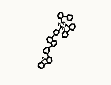 c1ccc(-c2ccccc2-c2nc(-c3ccc(-c4cccc5c(-c6cccc(-c7cccc8c7sc7ccccc78)c6)cccc45)cc3)nc(-c3ccccc3-c3ccccc3)n2)cc1